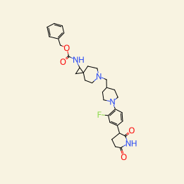 O=C1CCC(c2ccc(N3CCC(CN4CCC5(CC4)CC5NC(=O)OCc4ccccc4)CC3)c(F)c2)C(=O)N1